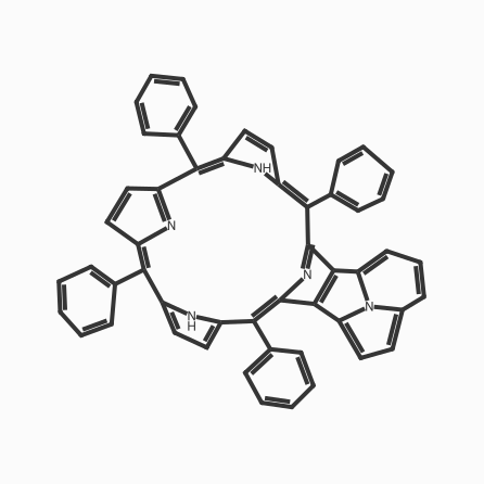 C1=Cc2nc1c(-c1ccccc1)c1ccc([nH]1)c(-c1ccccc1)c1nc(c(-c3ccccc3)c3ccc([nH]3)c2-c2ccccc2)-c2c-1c1cccc3ccc2n31